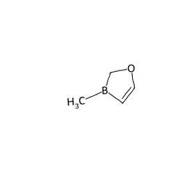 CB1C=COC1